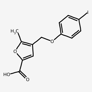 Cc1oc(C(=O)O)cc1COc1ccc(I)cc1